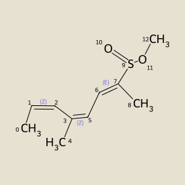 C\C=C/C(C)=C\C=C(/C)S(=O)OC